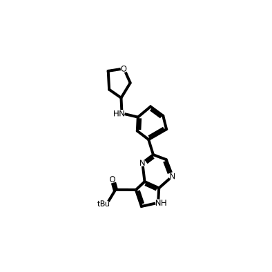 CC(C)(C)C(=O)c1c[nH]c2ncc(-c3cccc(NC4CCOC4)c3)nc12